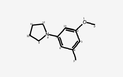 COc1cc(C)cc(N2CCCC2)c1